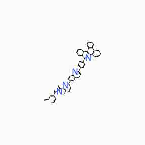 C=C/C=C(\C=C/C)C(/C)=N/C(=C)c1nc(-c2ccc3nc(-c4ccc(-c5nc6c7c(c8ccccc8c6c6ccccc56)CCC=C7)cc4)ccc3c2)ccc1C